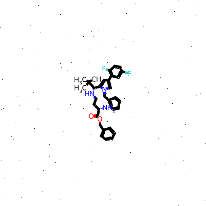 CC(C)(C)[C@@H](NCC[C@H](N)C(=O)OCc1ccccc1)c1cc(-c2cc(F)ccc2F)cn1Cc1ccccc1